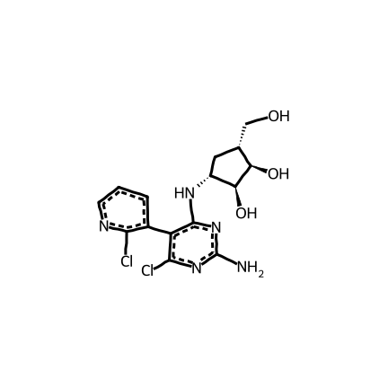 Nc1nc(Cl)c(-c2cccnc2Cl)c(N[C@@H]2C[C@H](CO)[C@@H](O)[C@H]2O)n1